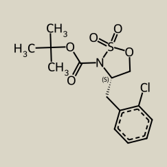 CC(C)(C)OC(=O)N1[C@@H](Cc2ccccc2Cl)COS1(=O)=O